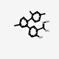 Cc1ccc(-c2ccc(C)cc2-c2ccc(O)c(C(N)=NO)c2)c(C)c1